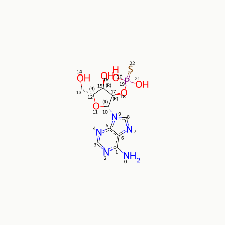 Nc1ncnc2c1ncn2[C@@H]1O[C@H](CO)[C@@H](O)[C@H]1OP(O)(O)=S